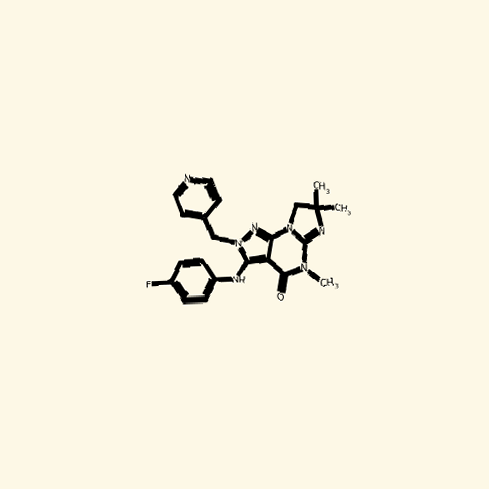 CN1C(=O)c2c(nn(Cc3ccncc3)c2Nc2ccc(F)cc2)N2CC(C)(C)N=C12